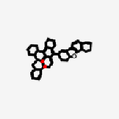 C1=CC2CCC(C3CCCCC3c3c4c(c(C5C=C6c7ccc8c(c7OC6CC5)CCC=C8)c5c3=CCCC=5)C=CCC4)CC2C=C1